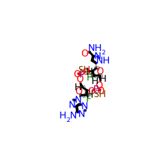 NC(=O)c1cc([C@@H]2O[C@@H]3COP(=O)(S)O[C@H]4[C@@H](F)[C@H](n5cnc6c(N)ncnc65)O[C@@H]4COP(=O)(S)O[C@@H]2[C@@H]3F)[nH]n1